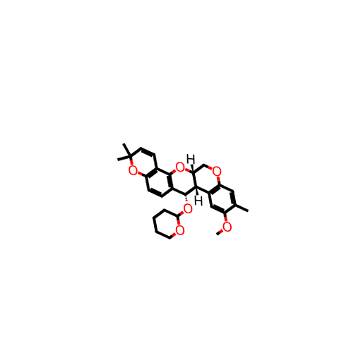 COc1cc2c(cc1C)OC[C@H]1Oc3c(ccc4c3C=CC(C)(C)O4)[C@@H](OC3CCCCO3)[C@@H]21